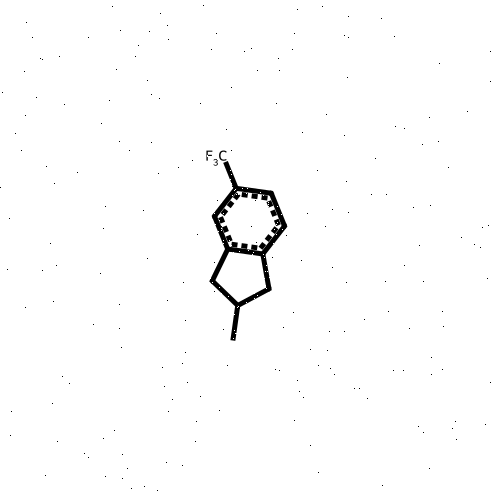 CC1Cc2ccc(C(F)(F)F)cc2C1